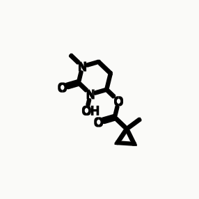 CN1CCC(OC(=O)C2(C)CC2)N(O)C1=O